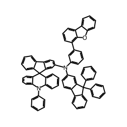 c1ccc(N2c3ccccc3C3(c4ccccc4-c4ccc(N(c5cccc(-c6cccc7c6oc6ccccc67)c5)c5ccc6c(c5)C(c5ccccc5)(c5ccccc5)c5ccccc5-6)cc43)c3ccccc32)cc1